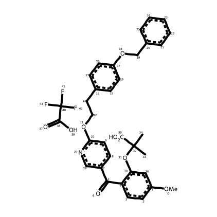 COc1ccc(C(=O)c2ccc(OCCc3ccc(OCc4ccccc4)cc3)nc2)c(OC(C)(C)C(=O)O)c1.O=C(O)C(F)(F)F